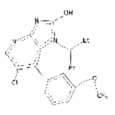 CCC(CC)n1c(O)nc2ncc(Cl)c(-c3cccc(OC(F)(F)F)c3)c21